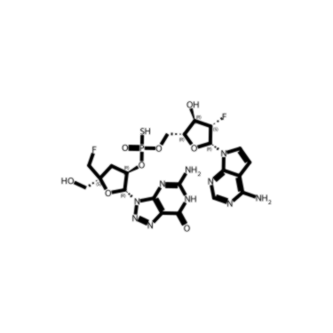 Nc1nc2c(nnn2[C@@H]2O[C@@](CO)(CF)C[C@H]2OP(=O)(S)OC[C@H]2O[C@@H](n3ccc4c(N)ncnc43)[C@@H](F)[C@@H]2O)c(=O)[nH]1